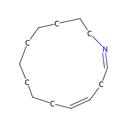 C1=CCCCCCCCCCN=CC1